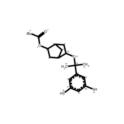 CCC(C)C(=O)OC1CC2CC1CC2OC(C)(C)c1cc(S)cc(S)c1